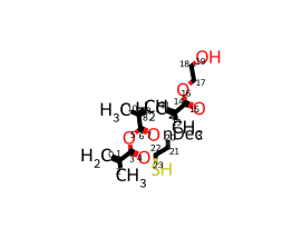 C=C(C)C(=O)OC(=O)C(=C)C.C=C(C)C(=O)OCCO.CCCCCCCCCCCCS